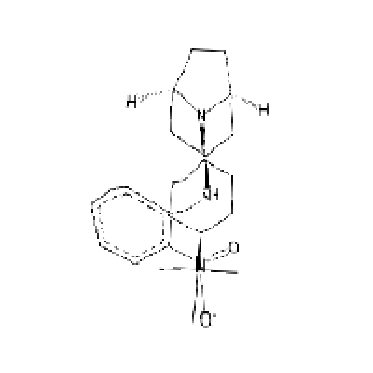 CC(C)(C)[C@H]1CC[C@@H](N2[C@@H]3CC[C@H]2C[C@@H](Nc2ccccc2[N+](=O)[O-])C3)CC1